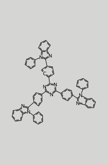 c1ccc(-n2c(-c3ccc(-c4nc(-c5ccc(-c6nc7ccccc7n6-c6ccccc6)cc5)nc(-c5ccc(-c6nc7ccccc7n6-c6ccccc6)cc5)n4)cc3)nc3ccccc32)cc1